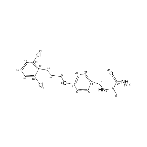 CC(NCc1ccc(OCCCc2c(Cl)cccc2Cl)cc1)C(N)=O